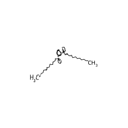 CCCCCCCCCCCCCC(=O)c1cccc(C(=O)CCCCCCCCCCCCC)c1